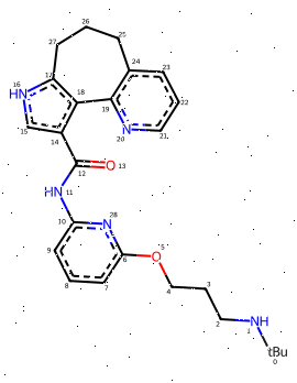 CC(C)(C)NCCCOc1cccc(NC(=O)c2c[nH]c3c2-c2ncccc2CCC3)n1